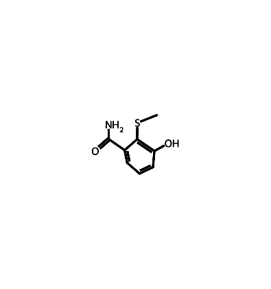 CSc1c(O)cccc1C(N)=O